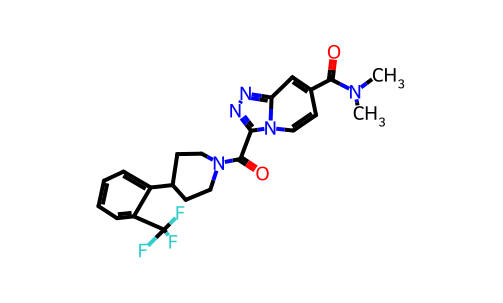 CN(C)C(=O)c1ccn2c(C(=O)N3CCC(c4ccccc4C(F)(F)F)CC3)nnc2c1